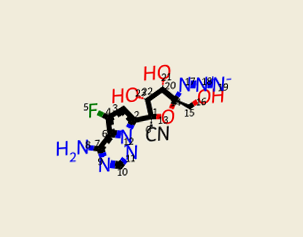 N#C[C@@]1(c2cc(F)c3c(N)ncnn23)O[C@@](CO)(N=[N+]=[N-])[C@@H](O)[C@H]1O